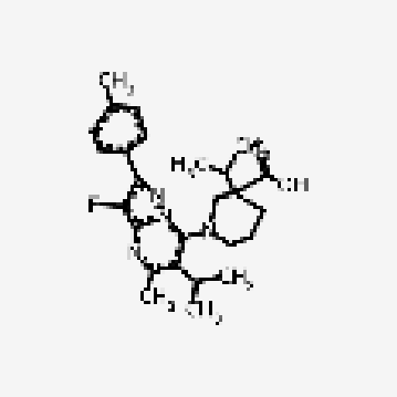 Cc1ccc(-c2nn3c(N4CCCC(C(=O)O)(C(C)C)C4)c(C(C)C)c(C)nc3c2F)cc1